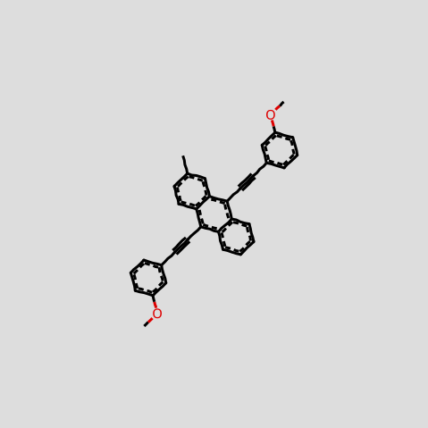 COc1cccc(C#Cc2c3ccccc3c(C#Cc3cccc(OC)c3)c3cc(C)ccc23)c1